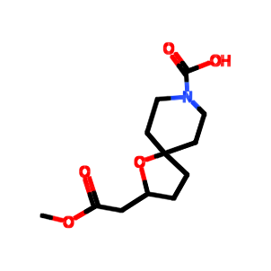 COC(=O)CC1CCC2(CCN(C(=O)O)CC2)O1